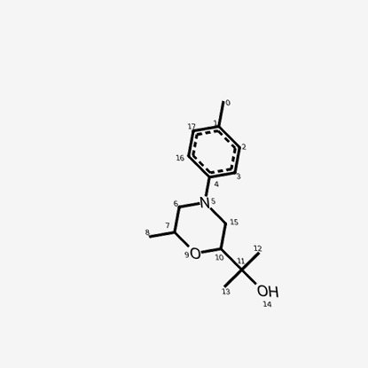 Cc1ccc(N2CC(C)OC(C(C)(C)O)C2)cc1